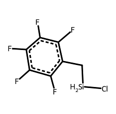 Fc1c(F)c(F)c(C[SiH2]Cl)c(F)c1F